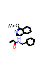 C=CC(=O)NCc1ccccc1.COc1nccc2ccccc12